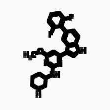 COc1cc(-c2c[nH]c3ccc(-c4c(F)cccc4F)cc23)nc(NC2CCCNC2)n1